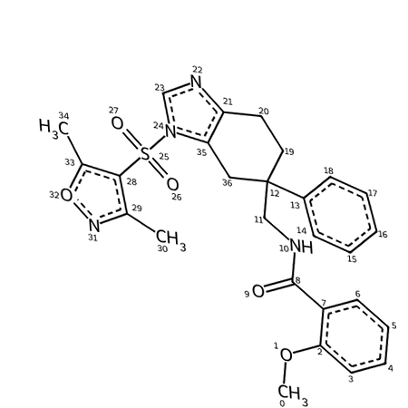 COc1ccccc1C(=O)NCC1(c2ccccc2)CCc2ncn(S(=O)(=O)c3c(C)noc3C)c2C1